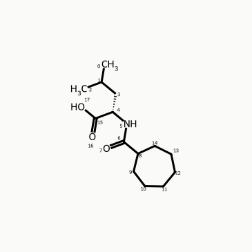 CC(C)C[C@H](NC(=O)C1CCCCCC1)C(=O)O